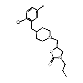 CCCN1CC(CN2CCC(Cc3cc(F)ccc3Cl)CC2)OC1=O